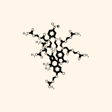 CC(=O)OCOC(=O)CN(CC(=O)OCOC(C)=O)c1ccc([N+](=O)[O-])cc1OCCOc1cc2c(cc1N(CC(=O)OCOC(C)=O)CC(=O)OCOC(C)=O)C(=O)OC21c2cc(Cl)c(OCOC(C)=O)cc2C(C)(C)c2cc(OCOC(C)=O)c(Cl)cc21